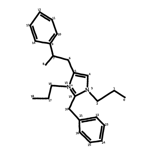 CCCn1cc(CC(C)c2ccccc2)[n+](CCC)c1Cc1ccccc1